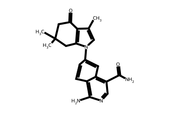 Cc1cn(-c2ccc3c(N)ncc(C(N)=O)c3c2)c2c1C(=O)CC(C)(C)C2